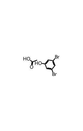 CC(=O)O.Oc1cc(Br)cc(Br)c1